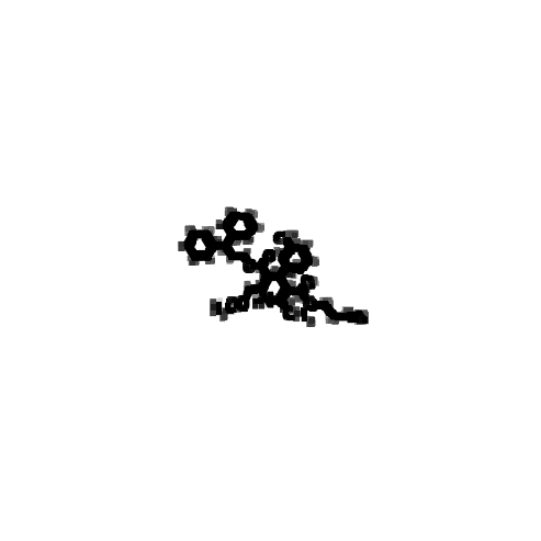 COCC1=C(C(=O)OCCC(c2ccccc2)c2ccccc2)C(c2cccc(Cl)c2)C(C(=O)OCCC#N)=C(C)N1